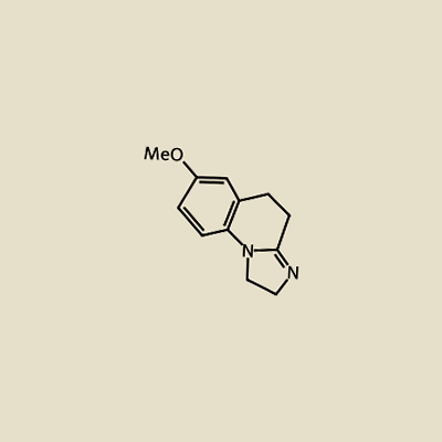 COc1ccc2c(c1)CCC1=NCCN12